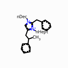 CCCCCCCCCCn1cc(CC(C)c2ccccc2)[n+](CCCCCCC)c1Cc1ccccc1